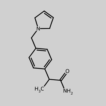 CC(C(N)=O)c1ccc(CN2CC=CC2)cc1